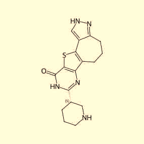 O=c1[nH]c([C@H]2CCCNC2)nc2c3c(sc12)-c1c[nH]nc1CCC3